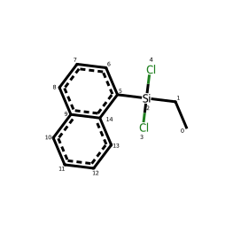 CC[Si](Cl)(Cl)c1cccc2ccccc12